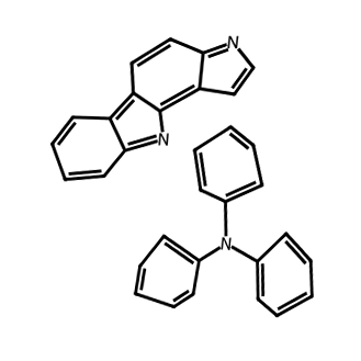 C1=Cc2c3c(ccc2=N1)=c1ccccc1=N3.c1ccc(N(c2ccccc2)c2ccccc2)cc1